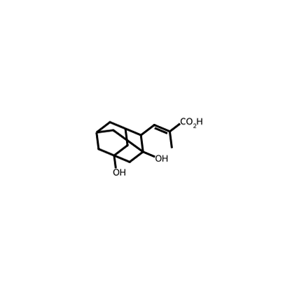 CC(=CC1C2CC3CC(O)(C2)CC1(O)C3)C(=O)O